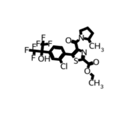 CCOC(=O)c1nc(C(=O)N2CCCC2C)c(-c2ccc(C(O)(C(F)(F)F)C(F)(F)F)cc2Cl)s1